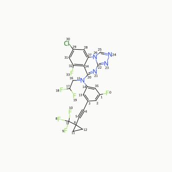 Fc1cc(C#CC2(C(F)(F)F)CC2)cc(N(CC(F)F)c2nc3nncn3c3cc(Cl)cc(F)c23)c1